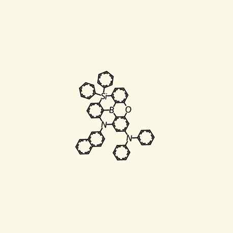 c1ccc(N(c2ccccc2)c2cc3c4c(c2)N(c2ccc5ccccc5c2)c2cccc5c2B4c2c(cccc2[Si]5(c2ccccc2)c2ccccc2)O3)cc1